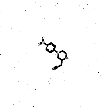 N#CCC1CN(c2ccc([N+](=O)[O-])cc2)CCN1